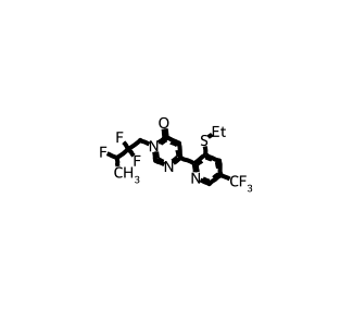 CCSc1cc(C(F)(F)F)cnc1-c1cc(=O)n(CC(F)(F)C(C)F)cn1